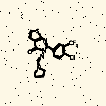 O=c1c2ccsc2nc(-c2ccc(Cl)c(C(F)(F)F)c2)n1/N=C/N1CCCC1